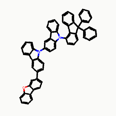 c1ccc(C2(c3ccccc3)c3ccccc3-c3c(-n4c5ccccc5c5cc(-n6c7ccccc7c7cc(-c8ccc9c(c8)oc8ccccc89)ccc76)ccc54)cccc32)cc1